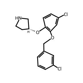 Clc1cccc(COc2cc(Cl)ccc2O[C@@H]2CCNC2)c1